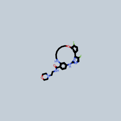 O=C(NCCN1CCOCC1)c1ccc2cc1NCCCCCCOc1cc(ccc1F)-c1nc(ncc1F)N2